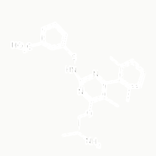 Cc1cccc(C)c1-c1nc(NSc2cccc(C(=O)O)c2)nc(OCC(C)N)c1C